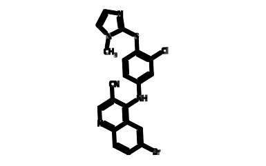 Cn1ccnc1Sc1ccc(Nc2c(C#N)cnc3ccc(Br)cc23)cc1Cl